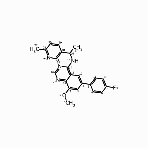 COc1cc(-c2ccc(F)cc2)cc2c(NC(C)c3ccc(C)nc3)ncnc12